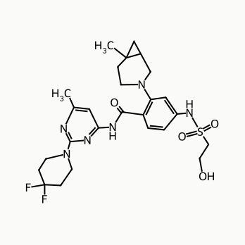 Cc1cc(NC(=O)c2ccc(NS(=O)(=O)CCO)cc2N2CCC3(C)CC3C2)nc(N2CCC(F)(F)CC2)n1